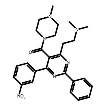 CN(C)CCc1nc(-c2ccccc2)nc(-c2cccc([N+](=O)[O-])c2)c1C(=O)N1CCN(C)CC1